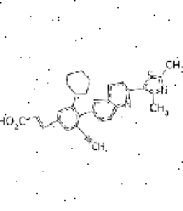 C#Cc1cc(C=CC(=O)O)cc(C2CCCCC2)c1-c1ccc2nc(-c3sc(C)nc3C)ccc2c1